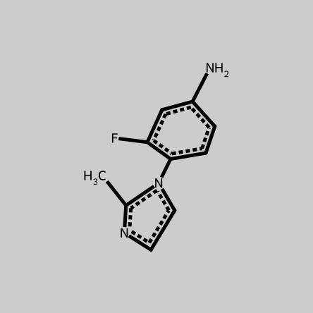 Cc1nccn1-c1ccc(N)cc1F